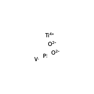 [O-2].[O-2].[P].[Ti+4].[V]